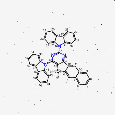 C[Si]1(C)c2cc3ccccc3cc2-c2nc(-n3c4ccccc4c4ccccc43)nc(-n3c4ccccc4c4ccccc43)c21